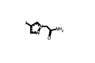 NC(=O)Cn1cc(I)cn1